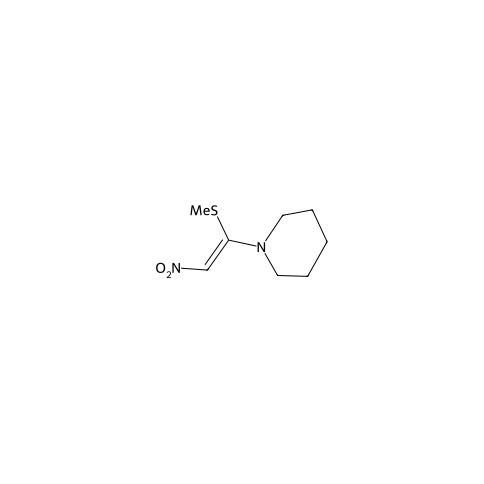 CSC(=C[N+](=O)[O-])N1CCCCC1